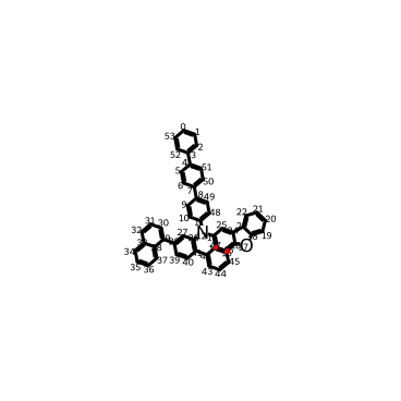 c1ccc(-c2ccc(-c3ccc(N(c4ccc5oc6ccccc6c5c4)c4cc(-c5cccc6ccccc56)ccc4-c4ccccc4)cc3)cc2)cc1